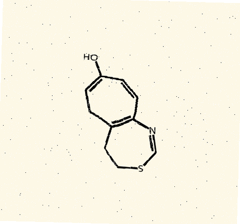 OC1=CCC2=C(C=C1)N=CSCC2